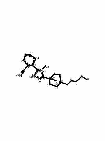 CCCCCC12CCC(c3nnc(-c4ccccc4C#N)n3C)(CC1)CC2